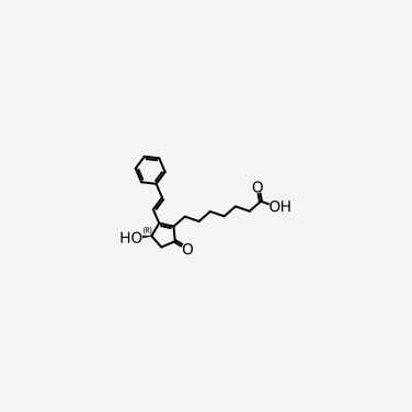 O=C(O)CCCCCCC1=C(C=Cc2ccccc2)[C@H](O)CC1=O